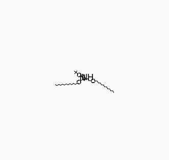 CCCCCCCCCCCCc1ccc(C=CC2=CC(c3ccc(CCCCCCCCCCCC)cc3)N(c3ccc(C(C)(C)C)cc3)N2)cc1